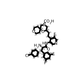 N[C@H](C(=O)Nc1cncc(F)c1CCC1CN(C(=O)O)CC2(CCOCC2)O1)[C@@H](c1ccc(Cl)cc1)c1cc(F)cc(F)c1